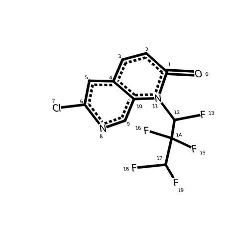 O=c1ccc2cc(Cl)ncc2n1C(F)C(F)(F)C(F)F